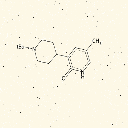 Cc1c[nH]c(=O)c(C2CCN(C(C)(C)C)CC2)c1